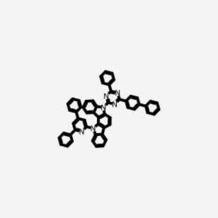 c1ccc(-c2ccc(-c3nc(-c4ccccc4)nc(-n4c5ccccc5c5c4ccc4c6ccccc6n(-c6cc(-c7ccccc7)cc(-c7ccccc7)n6)c45)n3)cc2)cc1